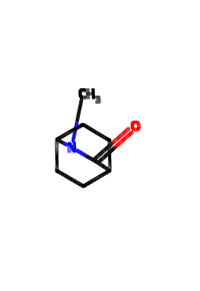 CN1C(=O)C2CCC1CC2